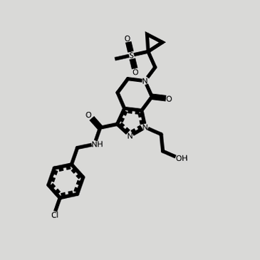 CS(=O)(=O)C1(CN2CCc3c(C(=O)NCc4ccc(Cl)cc4)nn(CCO)c3C2=O)CC1